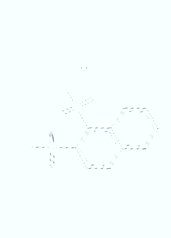 O=S(=O)(O)c1ccc2ccccc2c1S(=O)(=O)O.[MgH2]